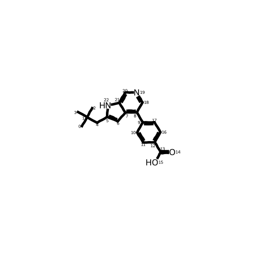 CC(C)(C)Cc1cc2c(-c3ccc(C(=O)O)cc3)cncc2[nH]1